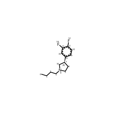 CCCCN1CC[C@H](c2ccc(F)c(F)c2)C1